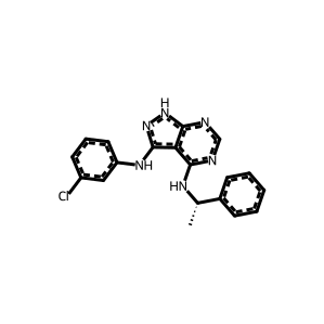 C[C@H](Nc1ncnc2[nH]nc(Nc3cccc(Cl)c3)c12)c1ccccc1